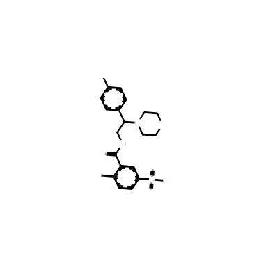 CC(C)S(=O)(=O)c1ccc(Cl)c(C(=O)NCC(c2ccc(Cl)cc2)N2CCOCC2)c1